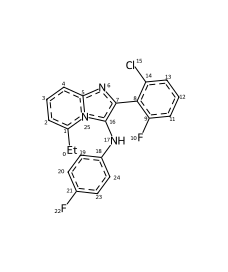 CCc1cccc2nc(-c3c(F)cccc3Cl)c(Nc3ccc(F)cc3)n12